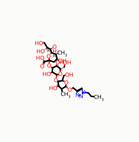 CCCn1cc(CO[C@@H]2OC(CO)[C@@H](O[C@@H]3O[C@@H](CO)[C@H](O)C(O[C@]4(C(=O)O)C[C@@H](O)[C@@H](C)C([C@H](O)[C@H](O)CO)O4)C3O)[C@H](O)C2C)nn1